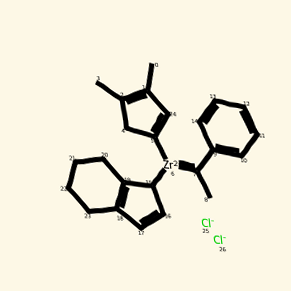 CC1=C(C)C[C](/[Zr+2](=[C](/C)c2ccccc2)[CH]2C=CC3=C2CCCC3)=C1.[Cl-].[Cl-]